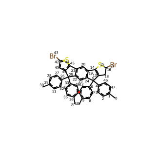 Cc1ccc(C2(c3ccc(C)cc3)C3=C(SC(Br)C3)c3cc4c(cc32)C(c2ccc(C)cc2)(c2ccc(C)cc2)c2cc(Br)sc2-4)cc1